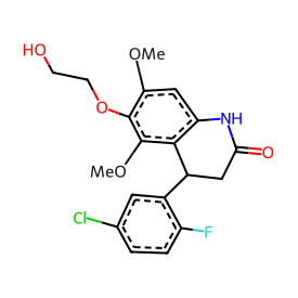 COc1cc2c(c(OC)c1OCCO)C(c1cc(Cl)ccc1F)CC(=O)N2